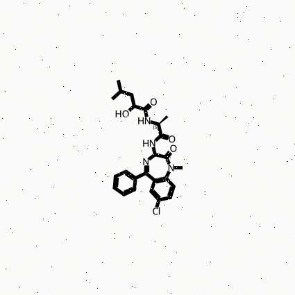 CC(C)CC(O)C(=O)N[C@@H](C)C(=O)NC1N=C(c2ccccc2)c2cc(Cl)ccc2N(C)C1=O